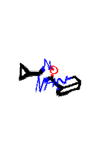 C1CC2NCC1CC2c1nc(C2CC2)no1